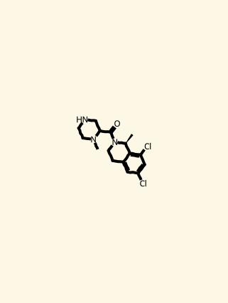 C[C@H]1c2c(Cl)cc(Cl)cc2CCN1C(=O)C1CNCCN1C